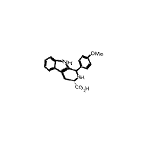 COc1ccc(C2N[C@H](C(=O)O)Cc3c2[nH]c2ccccc32)cc1